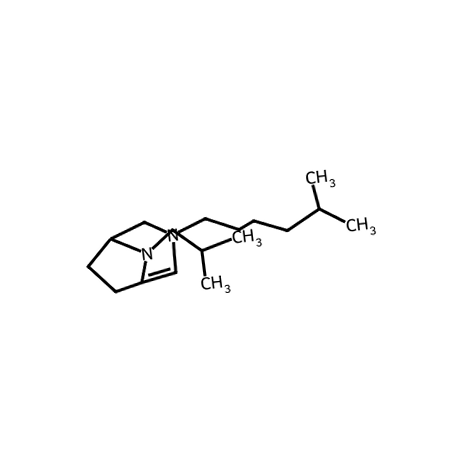 CC(C)CCCCN1C=C2CCC(C1)N2CC(C)C